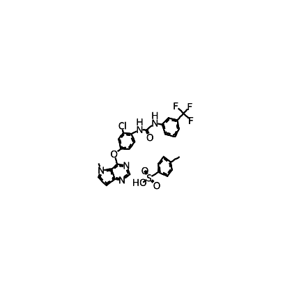 Cc1ccc(S(=O)(=O)O)cc1.Cn1ccc2ncnc(Oc3ccc(NC(=O)Nc4cccc(C(F)(F)F)c4)c(Cl)c3)c21